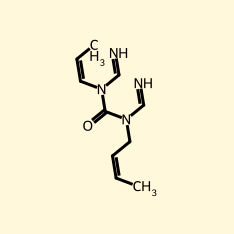 C/C=C\CN(C=N)C(=O)N(C=N)/C=C\C